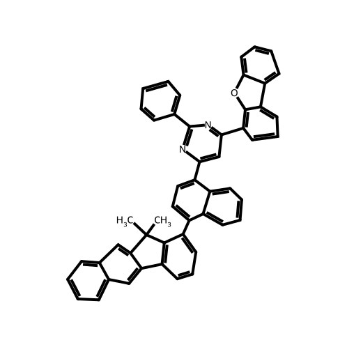 CC1(C)c2cc3ccccc3cc2-c2cccc(-c3ccc(-c4cc(-c5cccc6c5oc5ccccc56)nc(-c5ccccc5)n4)c4ccccc34)c21